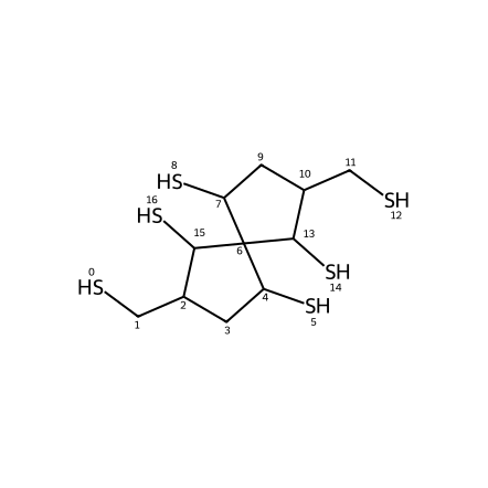 SCC1CC(S)C2(C(S)CC(CS)C2S)C1S